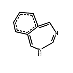 C1=NC=c2ccccc2=CN1